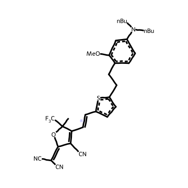 CCCCN(CCCC)c1ccc(CCc2ccc(/C=C/C3=C(C#N)C(=C(C#N)C#N)OC3(C)C(F)(F)F)s2)c(OC)c1